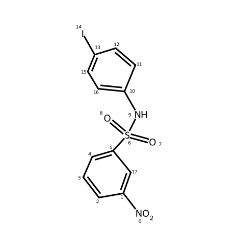 O=[N+]([O-])c1cccc(S(=O)(=O)Nc2ccc(I)cc2)c1